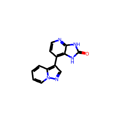 O=c1[nH]c2nccc(-c3cnn4ccccc34)c2[nH]1